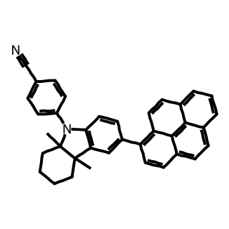 CC12CCCCC1(C)N(c1ccc(C#N)cc1)c1ccc(-c3ccc4ccc5cccc6ccc3c4c56)cc12